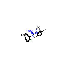 CCc1cccc(N(C)C(=N)N(C)c2cc(CC)ccc2F)c1